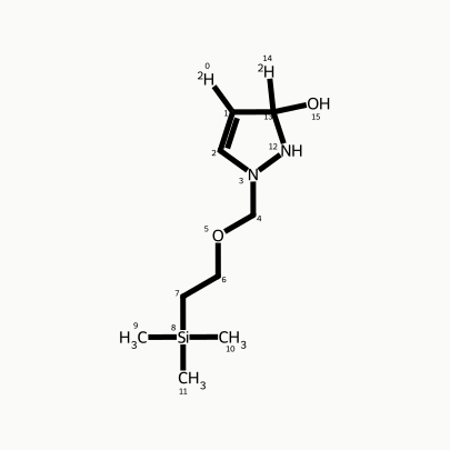 [2H]C1=CN(COCC[Si](C)(C)C)NC1([2H])O